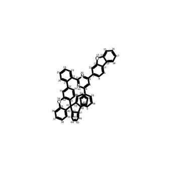 c1ccc(-c2cc(-c3ccc4c(c3)oc3ccccc34)nc(-c3ccccc3-c3ccc4c(c3)Oc3ccccc3C43c4ccccc4-c4ccccc43)n2)cc1